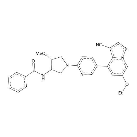 CCOc1cc(-c2ccc(N3CC(NC(=O)c4ccccc4)[C@H](OC)C3)nc2)c2c(C#N)cnn2c1